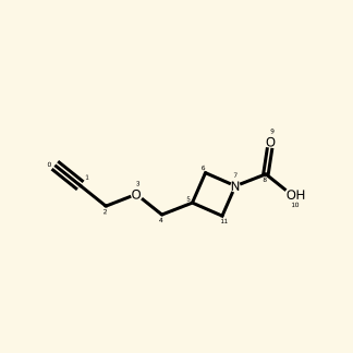 C#CCOCC1CN(C(=O)O)C1